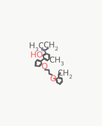 C=C/C(=C\C)c1cc(C)cc(-c2ccccc2OCCCCOc2ccccc2C=C)c1O